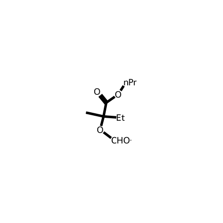 CCCOC(=O)C(C)(CC)O[C]=O